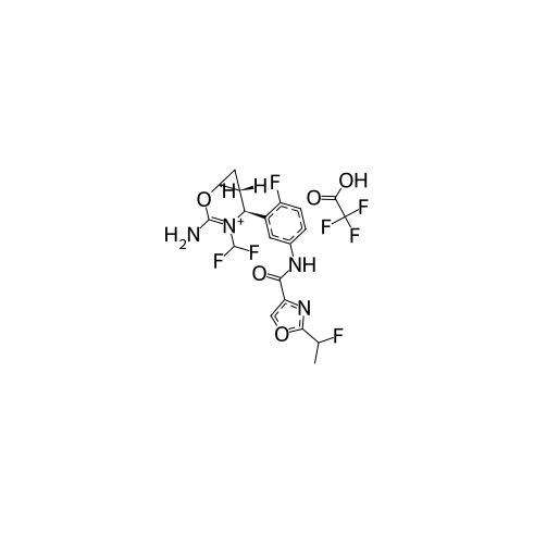 CC(F)c1nc(C(=O)Nc2ccc(F)c([C@@H]3[C@H]4C[C@H]4OC(N)=[N+]3C(F)F)c2)co1.O=C(O)C(F)(F)F